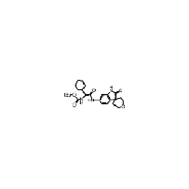 CC(C)(C)OC(=O)NC(C(=O)Nc1ccc2c(c1)NC(=O)C21CCOCC1)C1CCCCC1